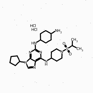 CC(C)S(=O)(=O)N1CCC(Nc2nc(NC3CCC(N)CC3)nc3c2ncn3C2CCCC2)CC1.Cl.Cl